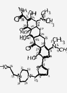 CN(C)c1cc(-c2ccc(CN3CCN(CCO)CC3)s2)c(O)c2c1CC1CC3C(N(C)C)C(O)=C(C(N)=O)C(=O)C3(O)C(O)=C1C2=O